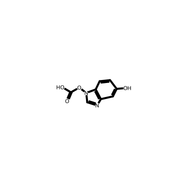 O=C(O)On1cnc2cc(O)ccc21